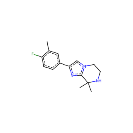 Cc1cc(-c2cn3c(n2)C(C)(C)NCC3)ccc1F